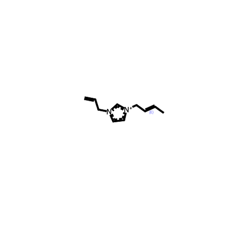 C=CCn1cc[n+](C/C=C/C)c1